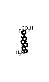 CC1C(c2ccc(C(=O)O)c(F)c2)=CCC2(C)C1CC[C@]1(C)C2CCC2C3CCCC3(N)CC[C@]21C